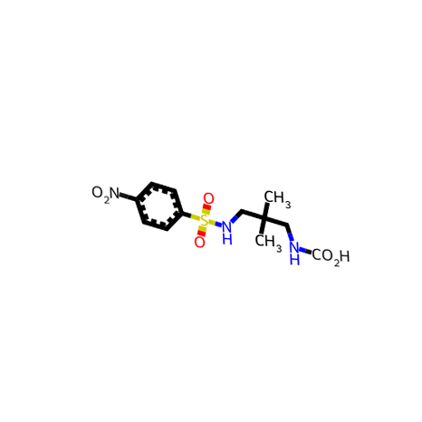 CC(C)(CNC(=O)O)CNS(=O)(=O)c1ccc([N+](=O)[O-])cc1